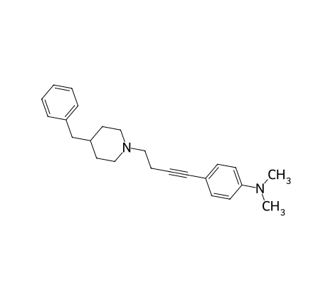 CN(C)c1ccc(C#CCCN2CCC(Cc3ccccc3)CC2)cc1